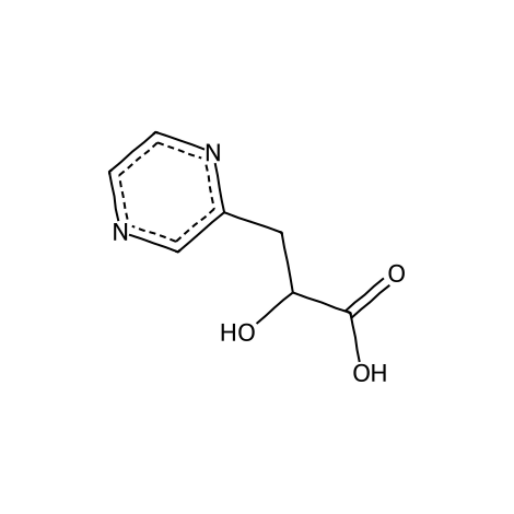 O=C(O)C(O)Cc1cnccn1